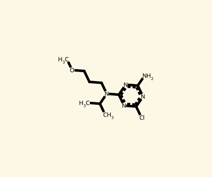 COCCCN(c1nc(N)nc(Cl)n1)C(C)C